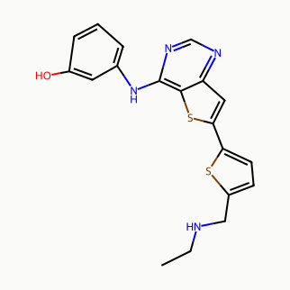 CCNCc1ccc(-c2cc3ncnc(Nc4cccc(O)c4)c3s2)s1